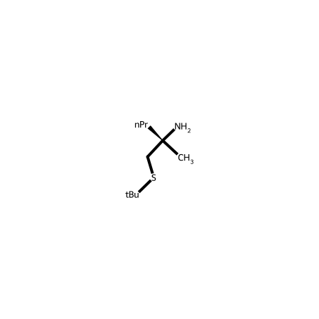 CCC[C@](C)(N)CSC(C)(C)C